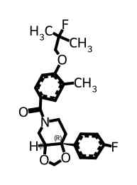 Cc1cc(C(=O)N2CC[C@]3(c4ccc(F)cc4)OCO[C@@H]3C2)ccc1OCC(C)(C)F